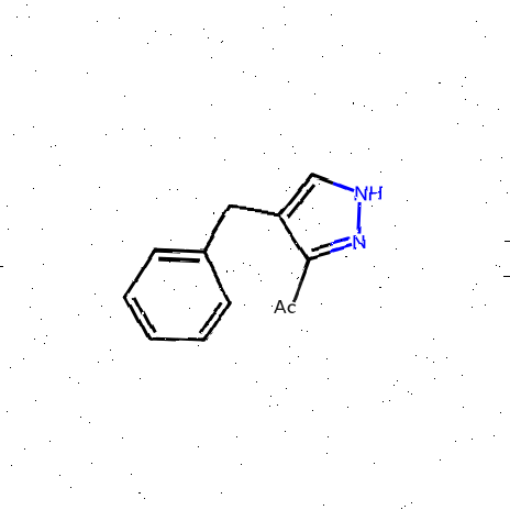 CC(=O)c1n[nH]cc1Cc1ccccc1